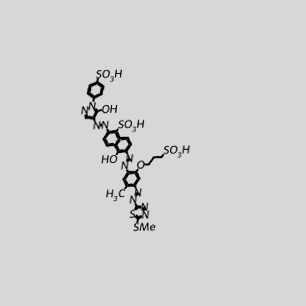 CSc1nnc(N=Nc2cc(OCCCS(=O)(=O)O)c(N=Nc3ccc4c(S(=O)(=O)O)c(N=Nc5cnn(-c6ccc(S(=O)(=O)O)cc6)c5O)ccc4c3O)cc2C)s1